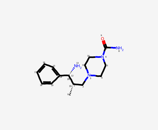 C[C@@H](CN1CCN(C(N)=O)CC1)[C@@H](N)c1ccccc1